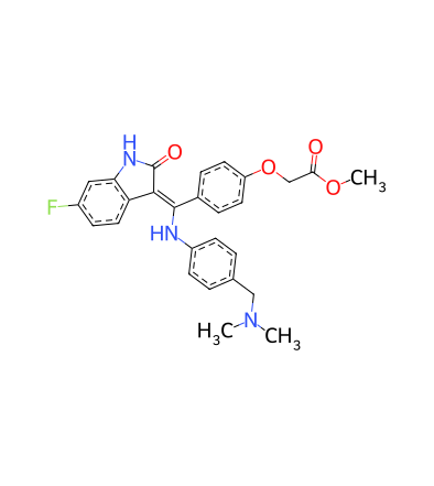 COC(=O)COc1ccc(C(Nc2ccc(CN(C)C)cc2)=C2C(=O)Nc3cc(F)ccc32)cc1